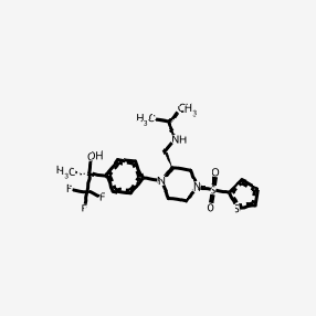 CC(C)NC[C@H]1CN(S(=O)(=O)c2cccs2)CCN1c1ccc([C@](C)(O)C(F)(F)F)cc1